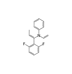 C=CN(/C(=C\C)c1c(F)cccc1F)c1ccccc1